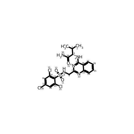 CC(C)[C@H](Nc1nc(CNS(=O)(=O)c2c(Cl)cc(Cl)cc2Cl)nc2ccccc12)C(N)=O